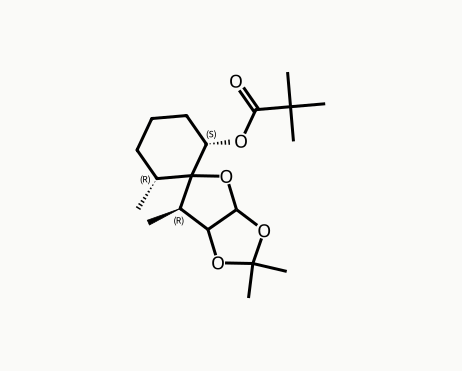 C[C@@H]1CCC[C@H](OC(=O)C(C)(C)C)C12OC1OC(C)(C)OC1[C@H]2C